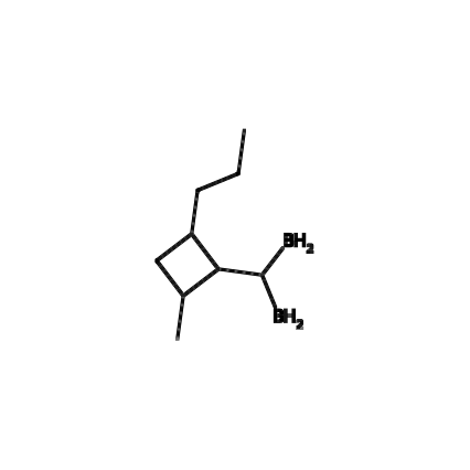 BC(B)C1C(C)CC1CCC